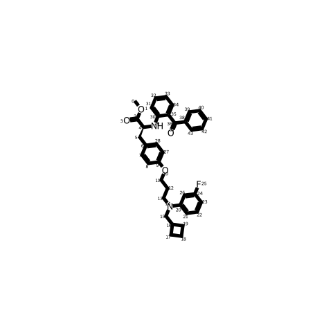 COC(=O)[C@H](Cc1ccc(OCCCN(CC2CCC2)c2cccc(F)c2)cc1)Nc1ccccc1C(=O)c1ccccc1